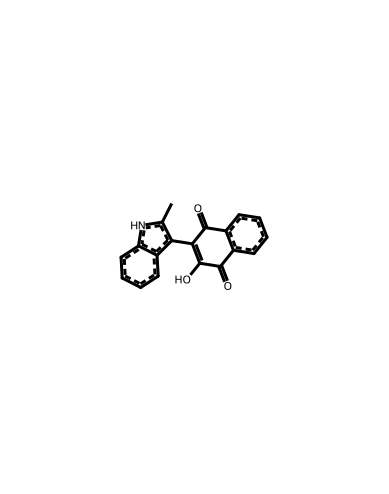 Cc1[nH]c2ccccc2c1C1=C(O)C(=O)c2ccccc2C1=O